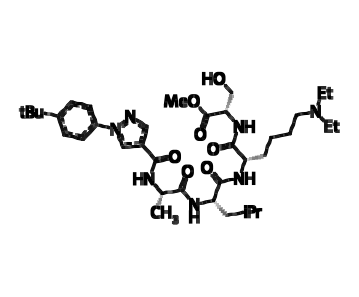 CCN(CC)CCCC[C@H](NC(=O)[C@H](CC(C)C)NC(=O)[C@H](C)NC(=O)c1cnn(-c2ccc(C(C)(C)C)cc2)c1)C(=O)N[C@@H](CO)C(=O)OC